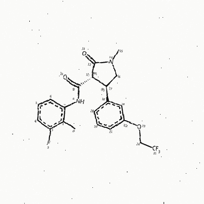 Cc1c(F)cccc1NC(=O)[C@@H]1C(=O)N(C)C[C@H]1c1cccc(OCC(F)(F)F)c1